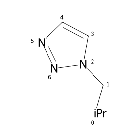 CC(C)Cn1ccnn1